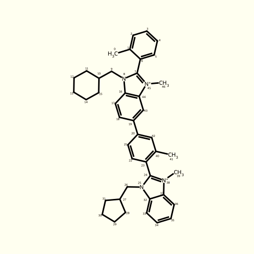 Cc1ccccc1-c1n(CC2CCCCC2)c2ccc(-c3ccc(-c4n(CC5CCCC5)c5ccccc5[n+]4C)c(C)c3)cc2[n+]1C